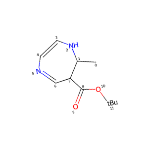 CC1NC=CN=CC1C(=O)OC(C)(C)C